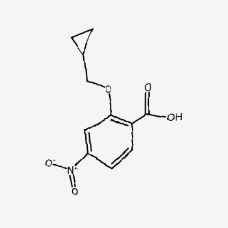 O=C(O)c1ccc([N+](=O)[O-])cc1OCC1CC1